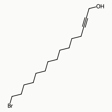 OCC#CCCCCCCCCCCCCBr